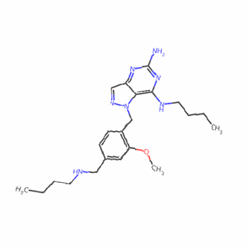 CCCCNCc1ccc(Cn2ncc3nc(N)nc(NCCCC)c32)c(OC)c1